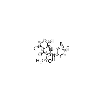 CC(=O)c1c(Nc2ccc(F)c(F)c2)[nH]c2c(Cl)ccc(Cl)c2c1=O